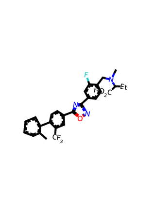 CCC(C(=O)O)N(C)Cc1ccc(-c2noc(-c3ccc(-c4ccccc4C)c(C(F)(F)F)c3)n2)cc1F